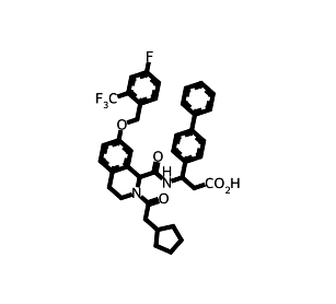 O=C(O)CC(NC(=O)C1c2cc(OCc3ccc(F)cc3C(F)(F)F)ccc2CCN1C(=O)CC1CCCC1)c1ccc(-c2ccccc2)cc1